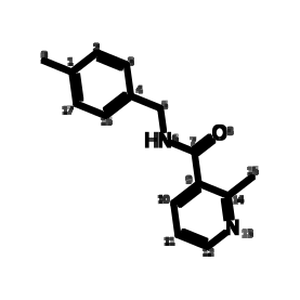 Cc1ccc(CNC(=O)c2cccnc2C)cc1